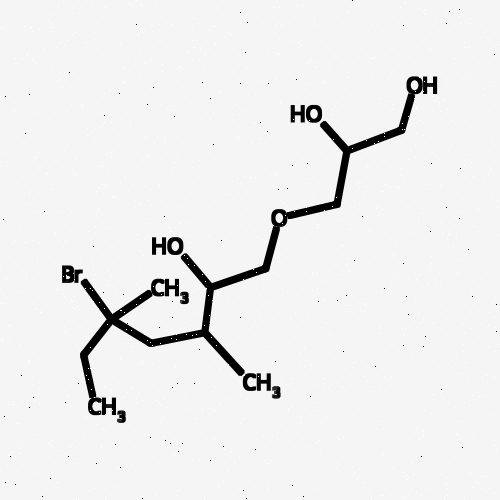 CCC(C)(Br)CC(C)C(O)COCC(O)CO